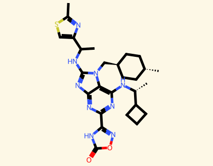 Cc1nc(C(C)Nc2nc3nc(-c4noc(=O)[nH]4)nc(N[C@H](C)C4CCC4)c3n2C[C@H]2CC[C@H](C)CC2)cs1